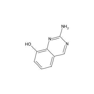 Nc1ncc2cccc(O)c2n1